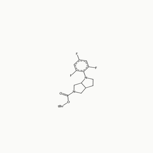 CC(C)(C)OC(=O)N1CC2CCN(c3c(F)cc(F)cc3F)C2C1